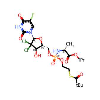 CC(C)OC(=O)[C@@H](C)N[P@](=O)(OCCSC(=O)C(C)(C)C)OC[C@H]1O[C@@H](n2cc(F)c(=O)[nH]c2=O)C(Cl)(Cl)[C@@H]1O